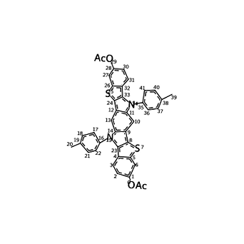 CC(=O)Oc1ccc2c(c1)sc1c3cc4c(cc3n(-c3ccc(C)cc3)c21)c1sc2cc(OC(C)=O)ccc2c1n4-c1ccc(C)cc1